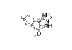 COc1cc(CC(C)C)cc2c(N)n[nH]c12